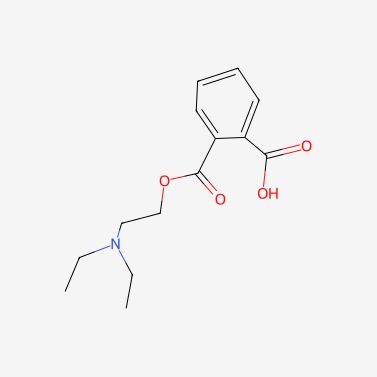 CCN(CC)CCOC(=O)c1ccccc1C(=O)O